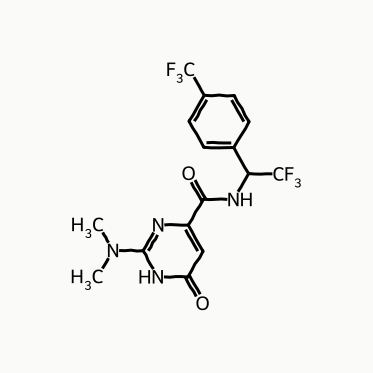 CN(C)c1nc(C(=O)NC(c2ccc(C(F)(F)F)cc2)C(F)(F)F)cc(=O)[nH]1